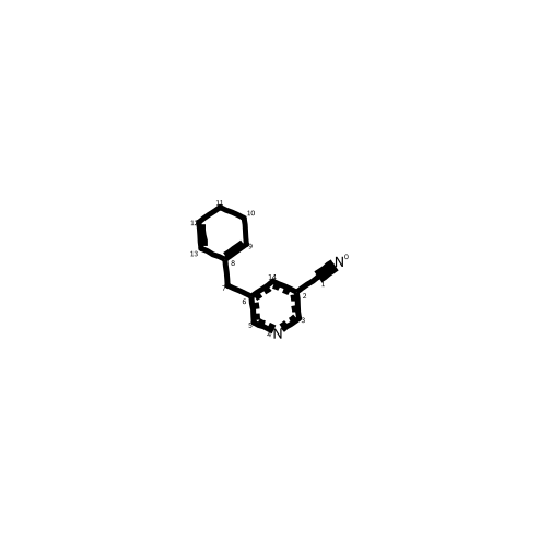 N#Cc1cncc(CC2=CCCC=C2)c1